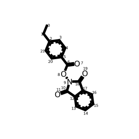 CCc1ccc(C(=O)ON2C(=O)c3ccccc3C2=O)cc1